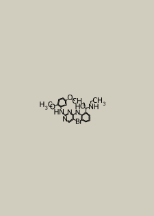 CCNC(=O)c1ccccc1Nc1nc(Nc2cc(OC)ccc2OC)ncc1Br